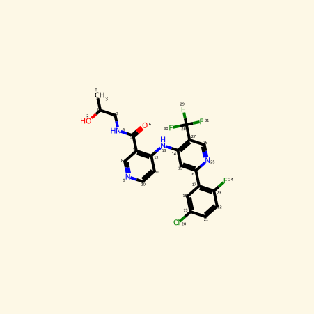 CC(O)CNC(=O)c1cnccc1Nc1cc(-c2cc(Cl)ccc2F)ncc1C(F)(F)F